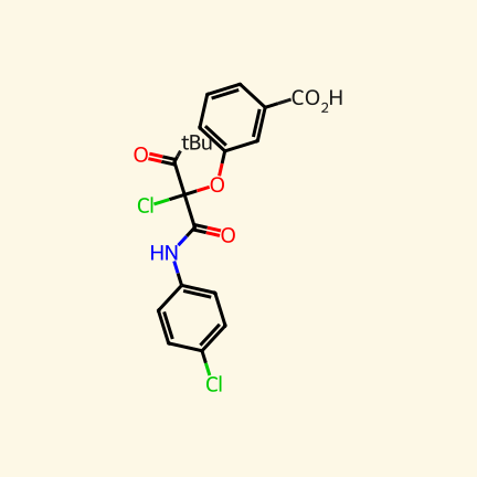 CC(C)(C)C(=O)C(Cl)(Oc1cccc(C(=O)O)c1)C(=O)Nc1ccc(Cl)cc1